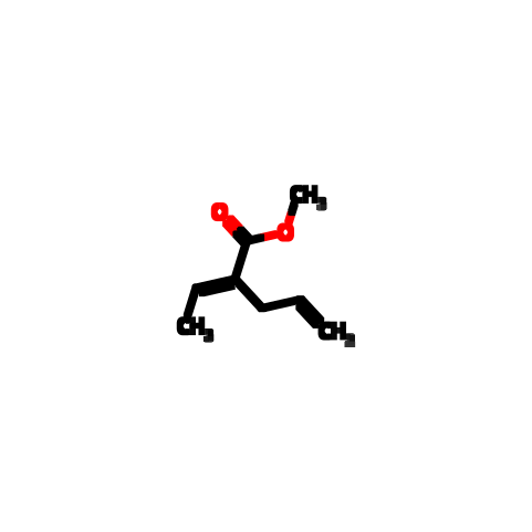 C=CC/C(=C\C)C(=O)OC